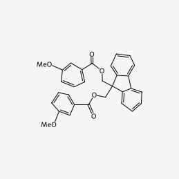 COc1cccc(C(=O)OCC2(COC(=O)c3cccc(OC)c3)c3ccccc3-c3ccccc32)c1